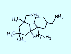 CC1(C)CC(C)(CN)CC(N)(C2(CN)CCCC(CN)C2)C1